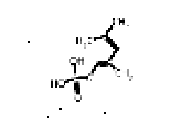 CC(C)=CC(C)=COP(=O)(O)O